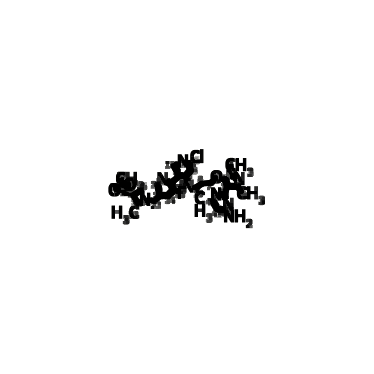 Cc1nn(C)c(OCC[C@H](C)Nc2cc(Cl)ncc2-c2ncc(CN3C[C@H](CS(C)(=O)=O)[C@H]3C)cc2F)c1-c1nccc(N)n1